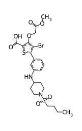 CCCCS(=O)(=O)N1CCC(Nc2cccc(-c3sc(C(=O)O)c(OCC(=O)OC)c3Br)c2)CC1